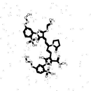 CN=COC1=NN(c2cc(SOOO)ccc2S(=O)(=O)O)C(=O)/C1=C\C=C(C=Cc1c(C(=O)NC)nn(-c2cc(SOOO)ccc2S(=O)(=O)O)c1O)N1CCCC1=O